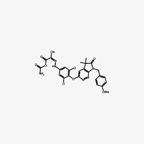 COc1ccc(CN2C(=O)C(C)(C)c3cc(Oc4c(Cl)cc(NN=C(C#N)C(=O)OC(N)=O)cc4Cl)nnc32)cc1